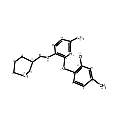 Cc1ccc(Oc2nc(C)ccc2OCC2CCCNC2)c(Cl)c1